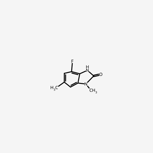 Cc1cc(F)c2[nH]c(=O)n(C)c2c1